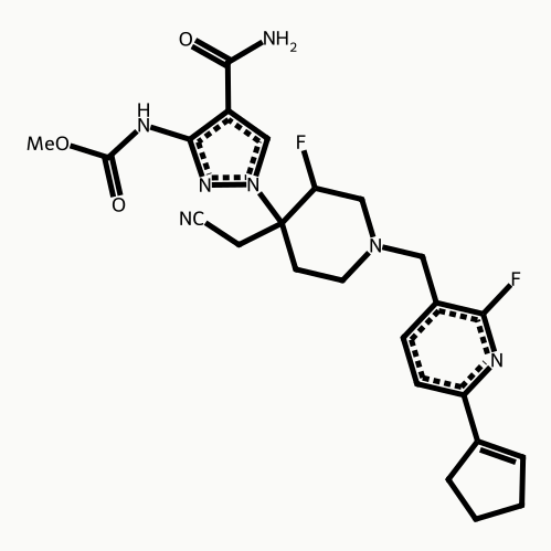 COC(=O)Nc1nn(C2(CC#N)CCN(Cc3ccc(C4=CCCC4)nc3F)CC2F)cc1C(N)=O